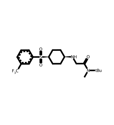 CN(C(=O)CN[C@H]1CC[C@@H](S(=O)(=O)c2cccc(C(F)(F)F)c2)CC1)C(C)(C)C